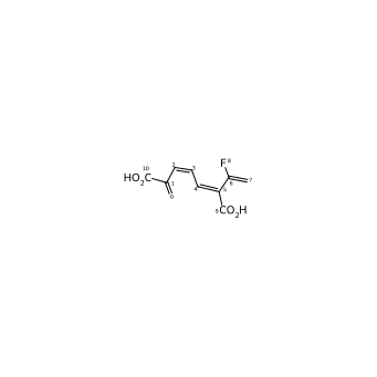 C=C(/C=C\C=C(/C(=C)F)C(=O)O)C(=O)O